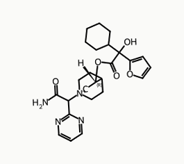 NC(=O)C(c1ncccn1)[N+]12CCC(CC1)[C@@H](OC(=O)C(O)(c1ccco1)C1CCCCC1)C2